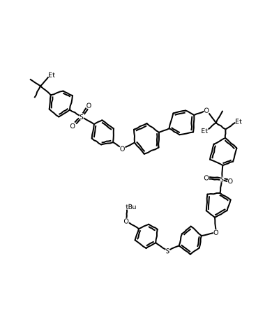 CCC(c1ccc(S(=O)(=O)c2ccc(Oc3ccc(Sc4ccc(OC(C)(C)C)cc4)cc3)cc2)cc1)C(C)(CC)Oc1ccc(-c2ccc(Oc3ccc(S(=O)(=O)c4ccc(C(C)(C)CC)cc4)cc3)cc2)cc1